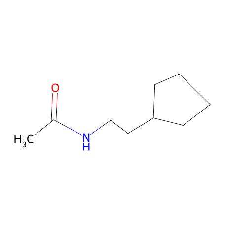 CC(=O)NCCC1CCCC1